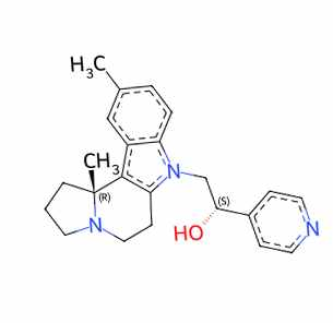 Cc1ccc2c(c1)c1c(n2C[C@@H](O)c2ccncc2)CCN2CCC[C@]12C